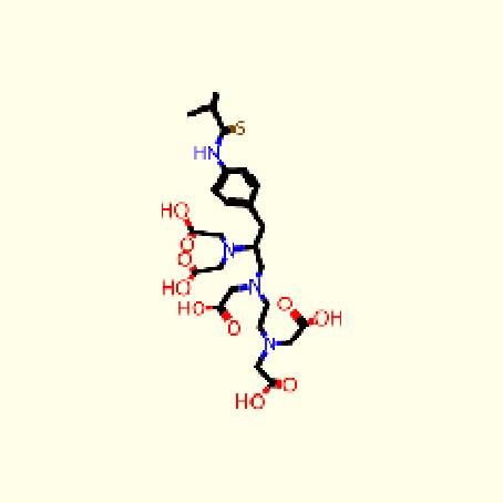 CC(C)C(=S)Nc1ccc(CC(CN(CCN(CC(=O)O)CC(=O)O)CC(=O)O)N(CC(=O)O)CC(=O)O)cc1